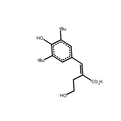 CC(C)(C)c1cc(C=C(CCO)C(=O)O)cc(C(C)(C)C)c1O